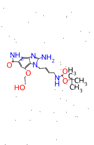 CC(C)(C)OC(=O)NC/C=C/Cn1c(N)nc2cc(C(N)=O)cc(OCCO)c21